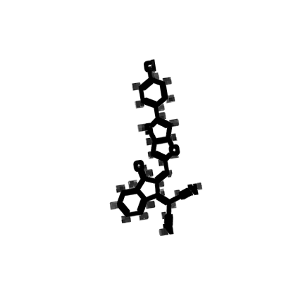 N#CC(C#N)=C1/C(=C/c2cc3sc(-c4ccc(Cl)cc4)cc3o2)C(=O)c2ccccc21